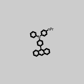 CCCc1ccc(N(c2ccccc2)c2ccc(-c3c4ccccc4cc4ccccc34)cc2)cc1